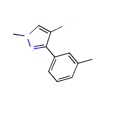 Cc1cccc(-c2nn(C)cc2C=O)c1